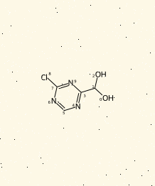 OC(O)c1ncnc(Cl)n1